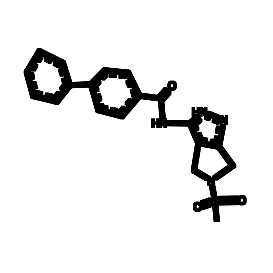 CS(=O)(=O)N1Cc2n[nH]c(NC(=O)c3ccc(-c4ccccc4)cc3)c2C1